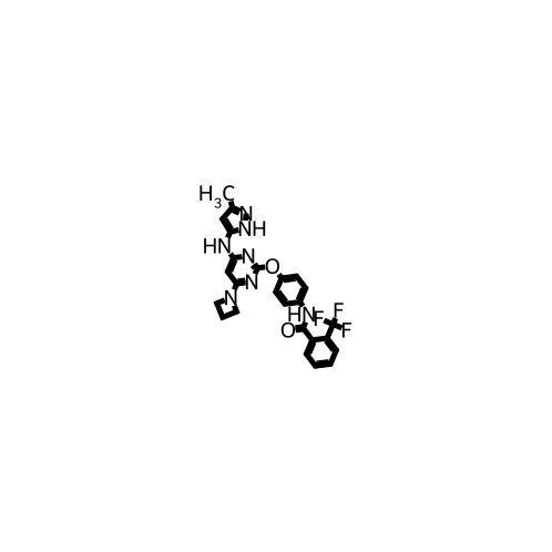 Cc1cc(Nc2cc(N3CCC3)nc(Oc3ccc(NC(=O)c4ccccc4C(F)(F)F)cc3)n2)[nH]n1